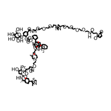 Cc1ncsc1-c1ccc([C@H](C)NC(=O)[C@@H]2C[C@@H](O)CN2C(=O)[C@@H](c2cc(OCCN3CCN(CCOc4cc(N5C6CCC5CN(c5cc(-c7ccccc7OS(=O)(=O)Oc7cc(C(=O)NCCOCCOCCOCCn8cc(COCCOCCOCCOCCNC(=O)CCN9C(=O)C=CC9=O)nn8)ccc7O[C@@H]7O[C@H](CO)[C@H](O)[C@H](O)[C@H]7O)nnc5N)C6)ccn4)[C@H](C)C3)no2)C(C)C)cc1